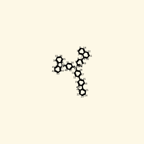 c1ccc2c(-c3ccc(N(c4ccc(-c5ccc6c(c5)sc5ccccc56)cc4)c4ccc(-n5c6ccccc6c6ccccc65)cc4)nc3)cccc2c1